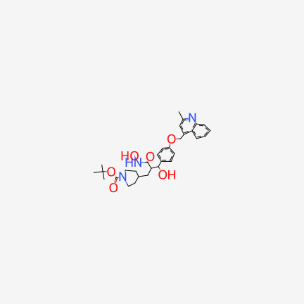 Cc1cc(COc2ccc(C(O)C(CC3CCN(C(=O)OC(C)(C)C)CC3)C(=O)NO)cc2)c2ccccc2n1